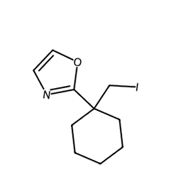 ICC1(c2ncco2)CCCCC1